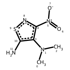 CN(C)c1c([N+](=O)[O-])nsc1N